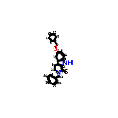 S=C1c2[nH]c3ccc(OCc4ccccc4)cc3c2CCN1Cc1ccccc1